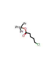 CC(C)[Si](OC(=O)CCCCCl)(C(C)C)C(C)C